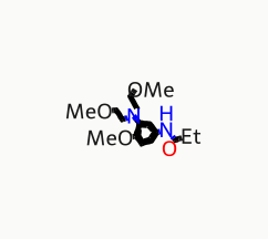 CCC(=O)Nc1ccc(OC)c(N(CCOC)CCOC)c1